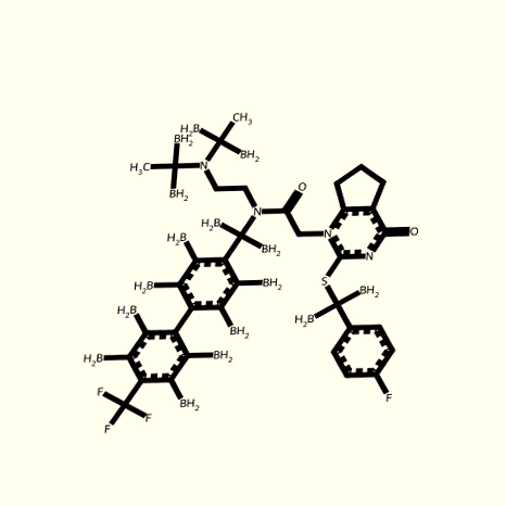 Bc1c(B)c(C(F)(F)F)c(B)c(B)c1-c1c(B)c(B)c(C(B)(B)N(CCN(C(B)(B)C)C(B)(B)C)C(=O)Cn2c(SC(B)(B)c3ccc(F)cc3)nc(=O)c3c2CCC3)c(B)c1B